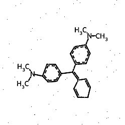 CN(C)c1ccc(C(=C2C=CCC=C2)c2ccc(N(C)C)cc2)cc1